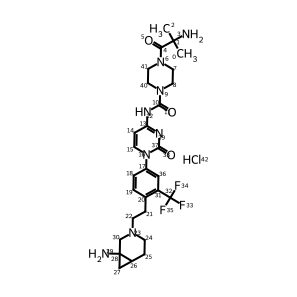 CC(C)(N)C(=O)N1CCN(C(=O)Nc2ccn(-c3ccc(CCN4CCC5CC5(N)C4)c(C(F)(F)F)c3)c(=O)n2)CC1.Cl